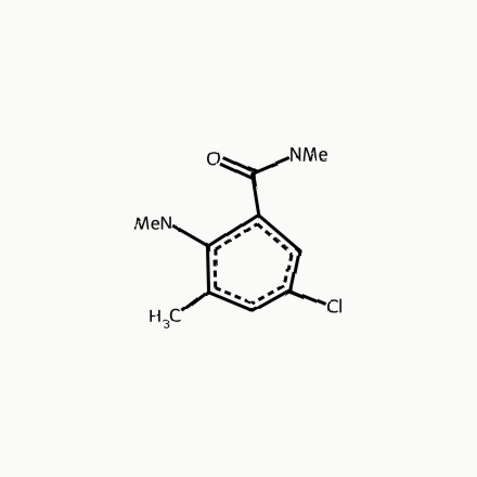 CNC(=O)c1cc(Cl)cc(C)c1NC